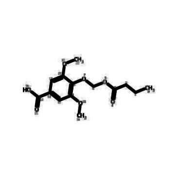 CCCC(=O)OCOc1c(OC)cc(C(=O)O)cc1OC